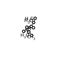 CC1(C)c2ccccc2-c2ccc(-c3cc4c5cccc(N(c6ccccc6)c6ccc7c(c6)C(C)(C)c6ccccc6-7)c5oc4c4ccccc34)cc21